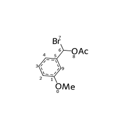 COc1cccc(C(Br)OC(C)=O)c1